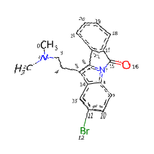 CN(C)CCc1c2n(c3ccc(Br)cc13)C(=O)c1ccccc1-2